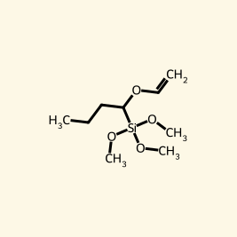 C=COC(CCC)[Si](OC)(OC)OC